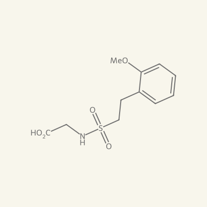 COc1ccccc1CCS(=O)(=O)NCC(=O)O